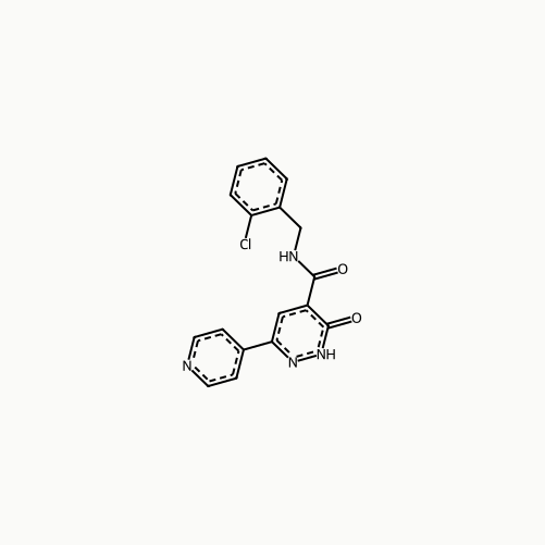 O=C(NCc1ccccc1Cl)c1cc(-c2ccncc2)n[nH]c1=O